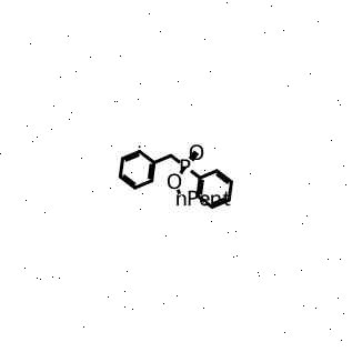 CCCCCOP(=O)(Cc1[c]cccc1)c1ccccc1